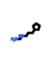 NCNCCCC1CCCC1